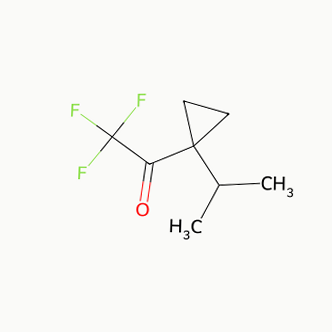 CC(C)C1(C(=O)C(F)(F)F)CC1